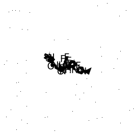 CC(C)(C)n1cc(C(=O)NCc2nc(-c3cc4c(N[C@@H]5CCN(C6CC6)C[C@@H]5F)cccc4n3CC(F)(F)F)no2)cn1